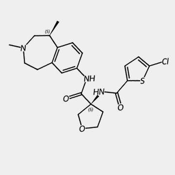 C[C@@H]1CN(C)CCc2cc(NC(=O)[C@]3(NC(=O)c4ccc(Cl)s4)CCOC3)ccc21